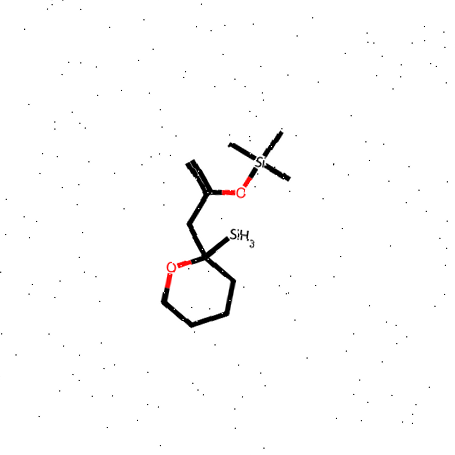 C=C(CC1([SiH3])CCCCO1)O[Si](C)(C)C